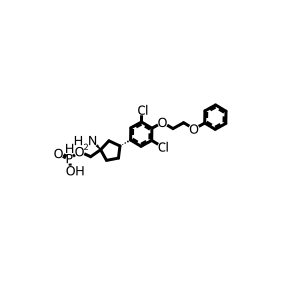 N[C@]1(CO[PH](=O)O)CC[C@@H](c2cc(Cl)c(OCCOc3ccccc3)c(Cl)c2)C1